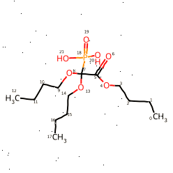 CCCCOC(=O)C(OCCCC)(OCCCC)P(=O)(O)O